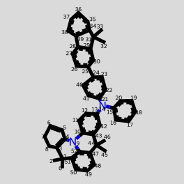 CC1(C)C2=C(C=CCC2)N2c3ccc(N(c4ccccc4)c4ccc(-c5ccc6c(c5)C(C)(C)c5ccccc5-6)cc4)cc3C(C)(C)c3cccc1c32